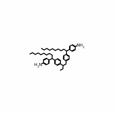 CCCCCCCCCC(c1ccc(N)cc1)c1ccc(CC(CC)c2ccc(C(CCCCCCCCC)c3ccc(N)cc3)cc2)cc1